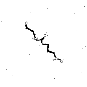 O=C(NCCI)OCCCOI